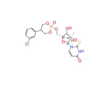 C[C@@]1(O)C(O)[C@@H](COP2(=O)OCC(c3cccc(Cl)c3)CO2)O[C@H]1n1ccc(=O)[nH]c1=S